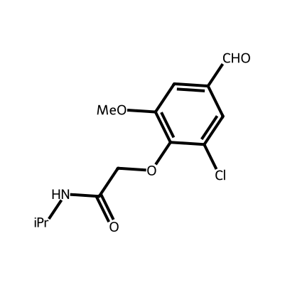 COc1cc(C=O)cc(Cl)c1OCC(=O)NC(C)C